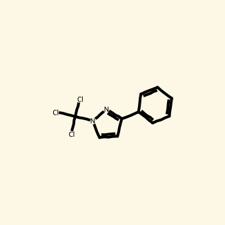 ClC(Cl)(Cl)n1ccc(-c2ccccc2)n1